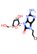 Nc1ncc2c(n1)n([C@@H]1O[C@H](CO)C[C@H]1O)c(=O)n2CCC(F)(F)F